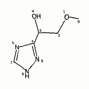 COCC(O)c1nc[nH]n1